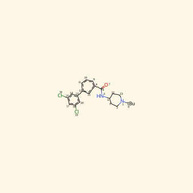 CC(C)(C)N1CCC(NC(=O)c2cccc(-c3cc(Cl)cc(Cl)c3)c2)CC1